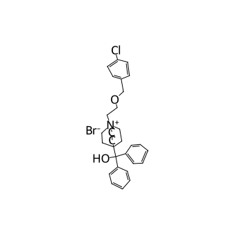 OC(c1ccccc1)(c1ccccc1)C12CC[N+](CCOCc3ccc(Cl)cc3)(CC1)CC2.[Br-]